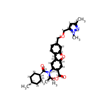 Cc1cc(COCc2ccc3c(c2)oc2cc(C(=O)O)c(N(C(=O)[C@H]4CC[C@H](C)CC4)C(C)C)cc23)n(C)n1